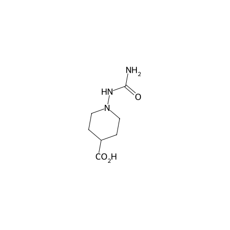 NC(=O)NN1CCC(C(=O)O)CC1